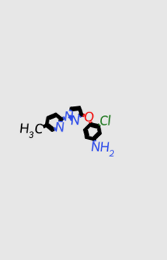 Cc1ccc(-n2ccc(Oc3ccc(N)cc3Cl)n2)nc1